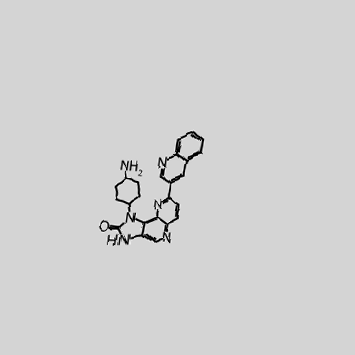 NC1CCC(n2c(=O)[nH]c3cnc4ccc(-c5cnc6ccccc6c5)nc4c32)CC1